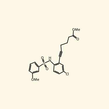 COC(=O)CCCC#Cc1cc(Cl)ccc1NS(=O)(=O)c1cccc(OC)c1